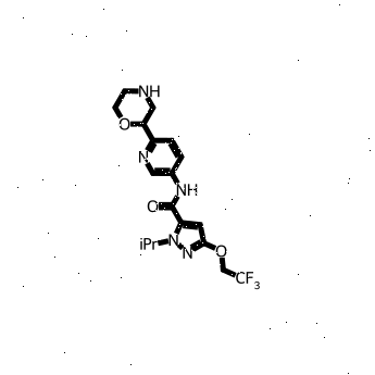 CC(C)n1nc(OCC(F)(F)F)cc1C(=O)Nc1ccc(C2CNCCO2)nc1